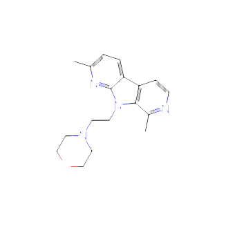 Cc1ccc2c3ccnc(C)c3n(CCN3CCOCC3)c2n1